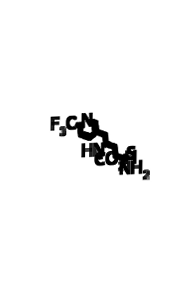 NC(=S)CCC(Cc1ccc(C(F)(F)F)nc1)NC(=O)O